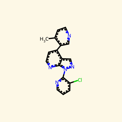 Cc1ccncc1-c1ccnc2c1cnn2-c1ncccc1Cl